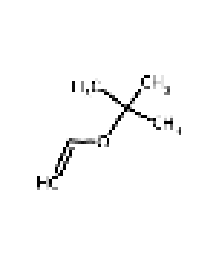 [CH]=COC(C)(C)C